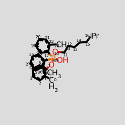 Cc1ccccc1OP(O)(OCCCCCC(C)C)(c1ccccc1C)c1ccccc1C